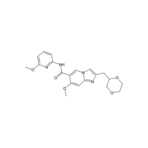 COc1cccc(NC(=O)c2cn3cc(CC4COCCO4)nc3cc2OC)n1